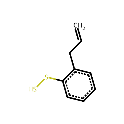 C=CCc1ccccc1SS